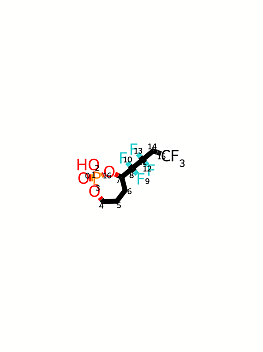 O=P1(O)OCCCC(C(F)(F)C(F)(F)CC(F)(F)F)O1